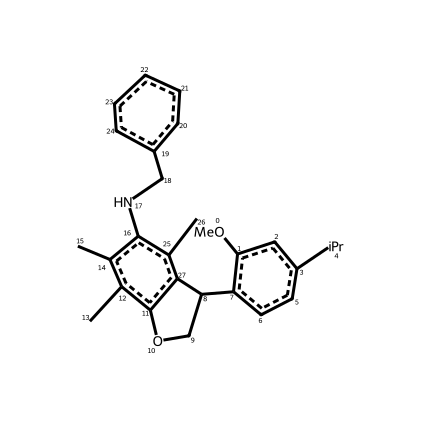 COc1cc(C(C)C)ccc1C1COc2c(C)c(C)c(NCc3ccccc3)c(C)c21